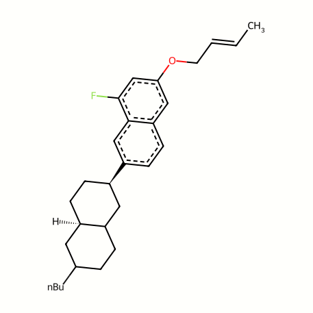 C/C=C/COc1cc(F)c2cc([C@@H]3CC[C@@H]4CC(CCCC)CCC4C3)ccc2c1